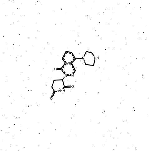 O=C1CCC(n2ncc3c(N4CCNCC4)cccc3c2=O)C(=O)N1